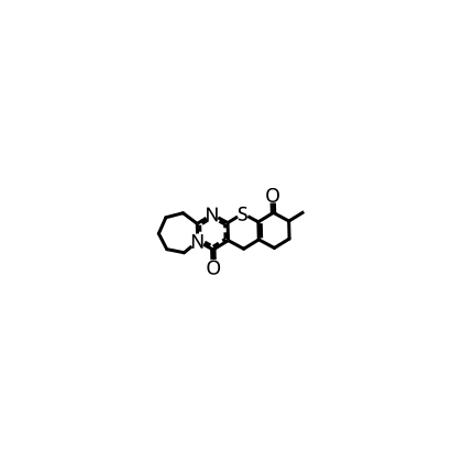 CC1CCC2=C(Sc3nc4n(c(=O)c3C2)CCCCC4)C1=O